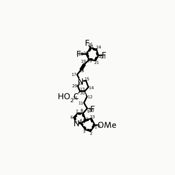 COc1ccc2nccc([C@H](F)CC[C@@H]3CCN(CC#Cc4cc(F)cc(F)c4F)C[C@@H]3C(=O)O)c2c1